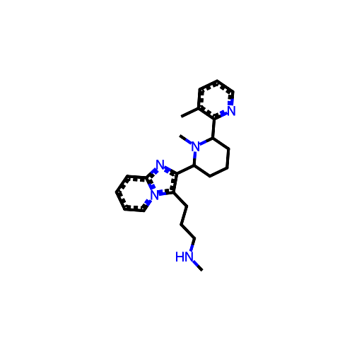 CNCCCc1c(C2CCCC(c3ncccc3C)N2C)nc2ccccn12